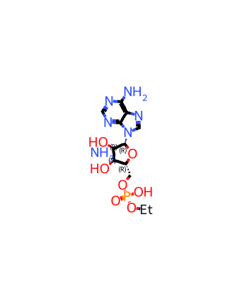 CCOP(=O)(O)OC[C@H]1O[C@@H](n2cnc3c(N)ncnc32)[C@H](O)[C@@H]1O.N